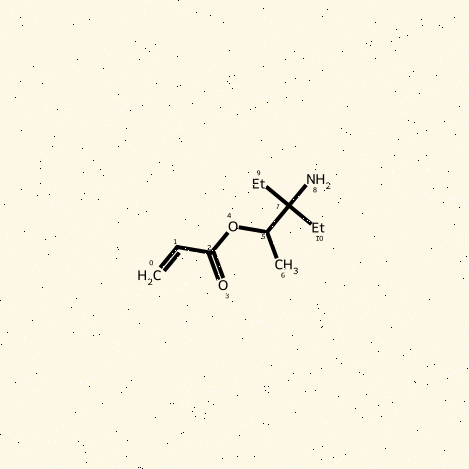 C=CC(=O)OC(C)C(N)(CC)CC